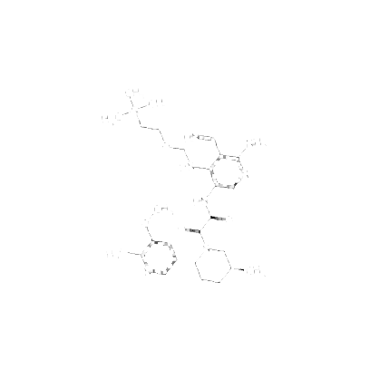 COc1cc([C@H]2CC[C@H](C)CN2C(=O)C(=O)Nc2cnc(N)c(C=N)c2NCOCC[Si](C)(C)C)cnc1C